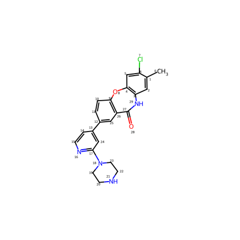 Cc1cc2c(cc1Cl)Oc1ccc(-c3ccnc(N4CCNCC4)c3)cc1C(=O)N2